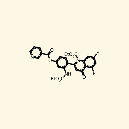 CCOC(=O)Nc1cc(OC(=O)c2cccnc2)ccc1-c1cc(=O)c2c(F)cc(F)cc2n1C(=O)OCC